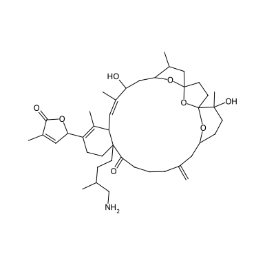 C=C1CCCC(=O)C2(CCC(C)CN)CCC(C3C=C(C)C(=O)O3)=C(C)C2/C=C(/C)C(O)CC2OC3(CCC4(OC(CCC4(C)O)C1)O3)CC2C